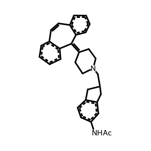 CC(=O)Nc1ccc2c(c1)CC(CN1CCC(=C3c4ccccc4C=Cc4ccccc43)CC1)C2